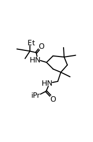 CCC(C)(C)C(=O)NC1CC(C)(C)CC(C)(CNC(=O)C(C)C)C1